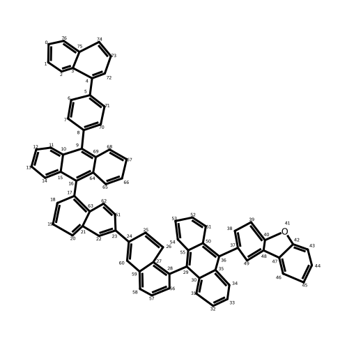 c1ccc2c(-c3ccc(-c4c5ccccc5c(-c5cccc6cc(-c7ccc8c(-c9c%10ccccc%10c(-c%10ccc%11oc%12ccccc%12c%11c%10)c%10ccccc9%10)cccc8c7)ccc56)c5ccccc45)cc3)cccc2c1